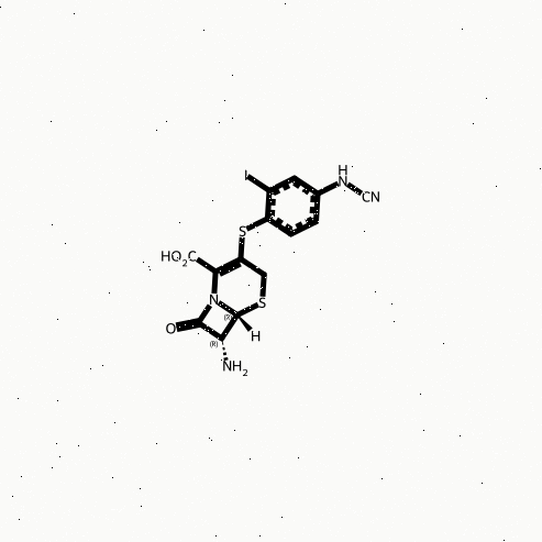 N#CNc1ccc(SC2=C(C(=O)O)N3C(=O)[C@@H](N)[C@H]3SC2)c(I)c1